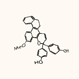 COc1ccc2c3c(c4c(c2c1)OC(c1ccc(O)cc1)(c1ccc(O)cc1)C=C4)CCc1ccccc1-3